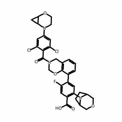 O=C(O)c1cc(F)c(-c2cccc3c2OCN(C(=O)c2c(Cl)cc(N4CCOC5CC54)cc2Cl)C3)cc1N1C2CCC1COC2